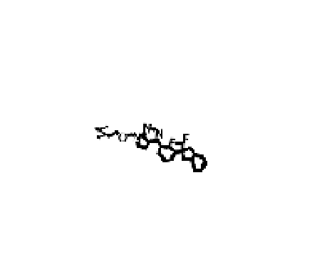 CS(C)(C)CCOCn1ccc2c(-c3cccc(C4(C(F)F)Cc5ccccc5C4)c3)ncnc21